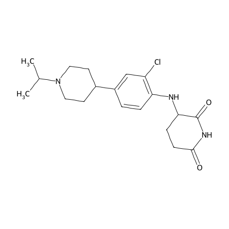 CC(C)N1CCC(c2ccc(NC3CCC(=O)NC3=O)c(Cl)c2)CC1